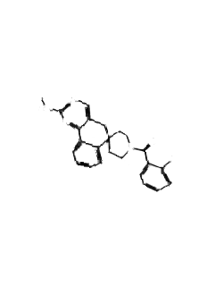 CNc1ncc2c(n1)-c1ccccc1C1(CCN(C(=O)c3ccccc3F)CC1)C2